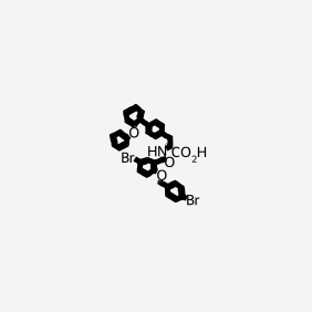 O=C(N[C@@H](Cc1ccc(-c2ccccc2Oc2ccccc2)cc1)C(=O)O)c1cc(Br)ccc1OCc1ccc(Br)cc1